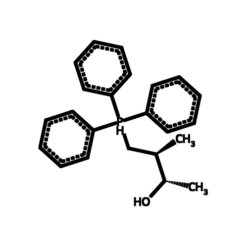 C[C@H](O)[C@H](C)C[PH](c1ccccc1)(c1ccccc1)c1ccccc1